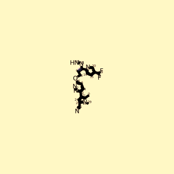 Cc1c(-c2ccc(OC/C=C(/N=N)c3ccc(C(F)F)cn3)nn2)cc(C#N)n1C